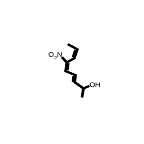 C\C=C/C(=C\C=C\C(C)O)[N+](=O)[O-]